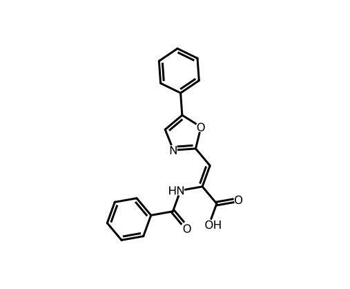 O=C(O)C(=Cc1ncc(-c2ccccc2)o1)NC(=O)c1ccccc1